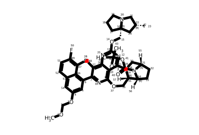 COCOc1cc(-c2nc3c4c(nc(OC[C@]56CCCN5C[C@H](F)C6)nc4c2F)N2C[C@@H]4CC[C@H]([C@@H]2CO3)N4C(=O)OC(C)(C)C)c2c(F)c(F)ccc2c1